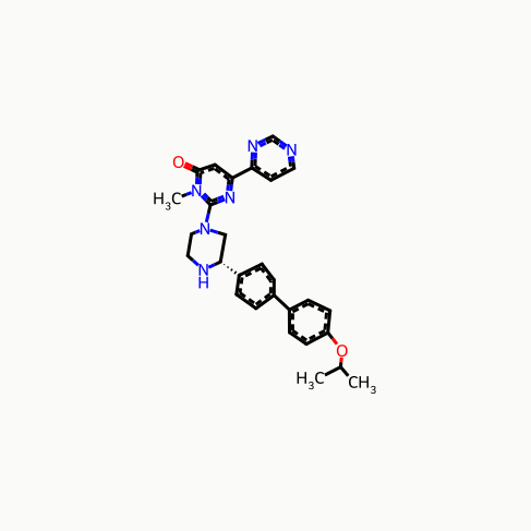 CC(C)Oc1ccc(-c2ccc([C@H]3CN(c4nc(-c5ccncn5)cc(=O)n4C)CCN3)cc2)cc1